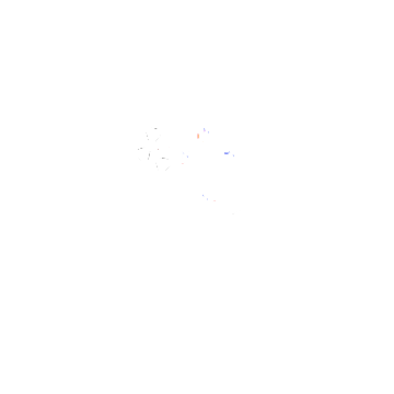 COc1ccc(C(OC[C@@H]2C[C@@H](OP(OCCC#N)N(C(C)C)C(C)C)CN2C(=O)CCCCCNC(=O)O[C@H]2CC[C@@]3(C)C(=CCC4C3CC[C@@]3(C)C4CC[C@@H]3[C@H](C)CCCC(C)C)C2)(c2ccccc2)c2ccc(OC)cc2)cc1